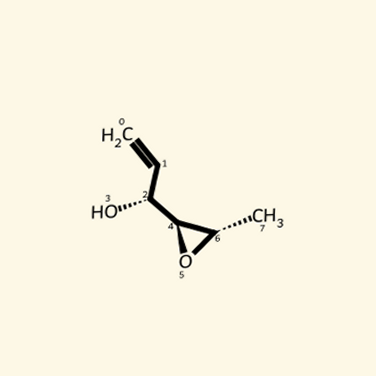 C=C[C@@H](O)[C@@H]1O[C@H]1C